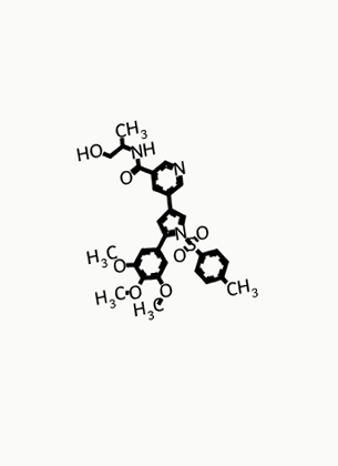 COc1cc(-c2cc(-c3cncc(C(=O)NC(C)CO)c3)cn2S(=O)(=O)c2ccc(C)cc2)cc(OC)c1OC